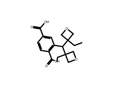 CCC1(C(c2cc(C(=O)O)ccc2C(=O)O)C2(CC)COC2)COC1